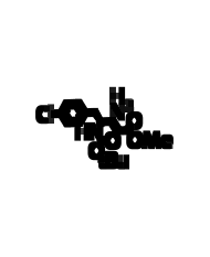 COC(=O)C[C@@H](N)[C@H](Cc1ccc(Cl)cc1)NC(=O)OC(C)(C)C